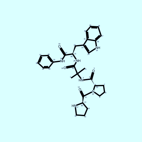 CC(C)(NC(=O)[C@@H]1CCCN1C(=O)[C@H]1CCCN1)C(=O)N[C@H](Cc1c[nH]c2ccccc12)C(=O)Nc1ccccc1